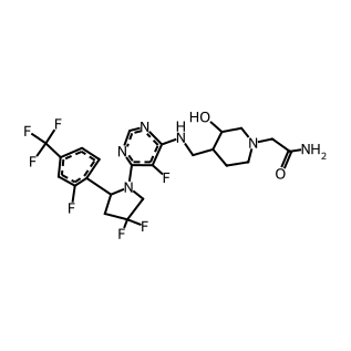 NC(=O)CN1CCC(CNc2ncnc(N3CC(F)(F)CC3c3ccc(C(F)(F)F)cc3F)c2F)C(O)C1